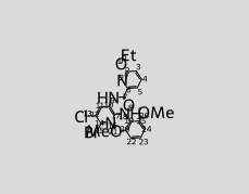 CCOc1cccc(C(=O)Nc2cc(Cl)c(Br)nc2Nc2c(OC)cccc2OC)n1